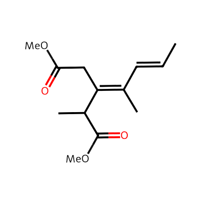 C/C=C/C(C)=C(\CC(=O)OC)C(C)C(=O)OC